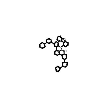 c1ccc(-c2cccc(-c3ccc4c(c3)-c3cccc5c3B(N4)N(c3cccc4oc6ccccc6c34)c3ccc(-c4cccc(-c6ccccc6)c4)cc3-5)c2)cc1